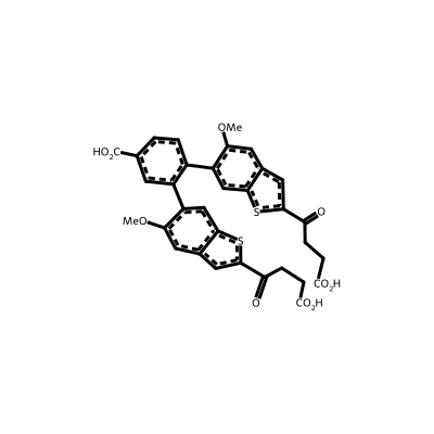 COc1cc2cc(C(=O)CCC(=O)O)sc2cc1-c1ccc(C(=O)O)cc1-c1cc2sc(C(=O)CCC(=O)O)cc2cc1OC